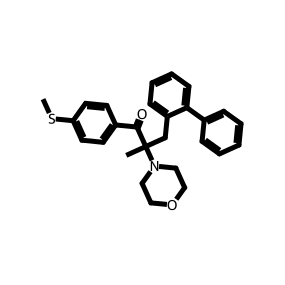 CSc1ccc(C(=O)C(C)(Cc2ccccc2-c2ccccc2)N2CCOCC2)cc1